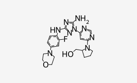 Nc1nc(Nc2ccc(N3CCOCC3)cc2F)nn1-c1cc(N2CCCC2CO)ncn1